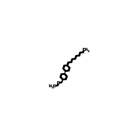 CCCCCCCCCC1CCC([C@H]2CC[C@H](COCC)CC2)CC1